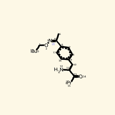 CCC(C)CO/N=C(/C)c1ccc(CC(N)C(=O)C(C)C)cc1